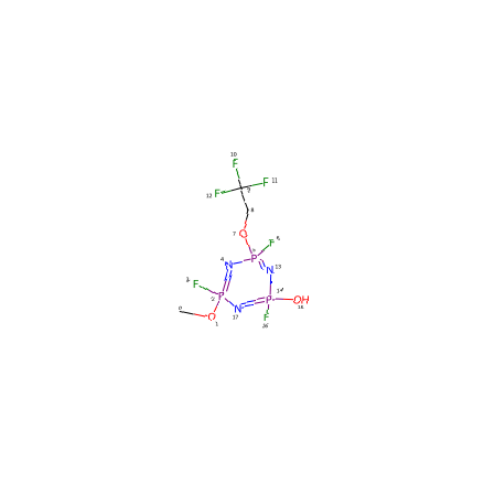 COP1(F)=NP(F)(OCC(F)(F)F)=NP(O)(F)=N1